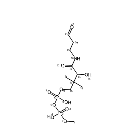 COP(=O)(O)OP(=O)(O)OCC(C)(C)C(O)C(=O)NCCC=O